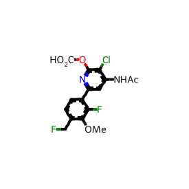 COc1c(CF)ccc(-c2cc(NC(C)=O)c(Cl)c(OC(=O)O)n2)c1F